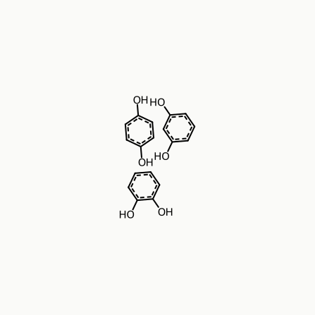 Oc1ccc(O)cc1.Oc1cccc(O)c1.Oc1ccccc1O